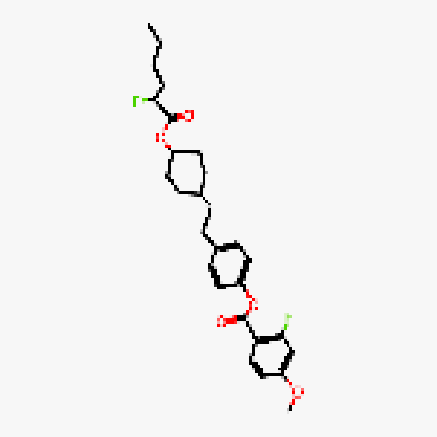 CCCC[C@H](F)C(=O)O[C@H]1CC[C@H](CCc2ccc(OC(=O)c3ccc(OC)cc3F)cc2)CC1